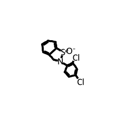 [O-][S+]1c2ccccc2CN1c1ccc(Cl)cc1Cl